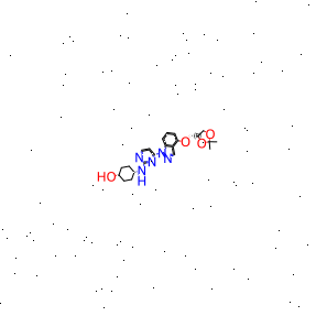 CC1(C)OC[C@@H](COc2cccc3c2cnn3-c2ccnc(N[C@H]3CC[C@H](O)CC3)n2)O1